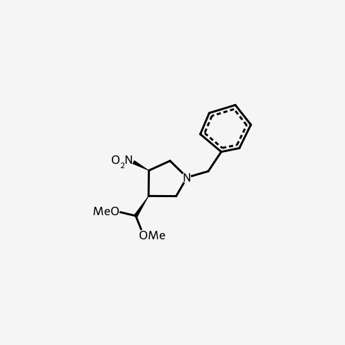 COC(OC)[C@@H]1CN(Cc2ccccc2)C[C@@H]1[N+](=O)[O-]